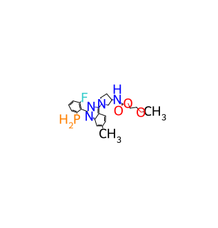 COCCOC(=O)N[C@@H]1CCN(c2nc(-c3c(F)cccc3P)nc3cc(C)ccc23)C1